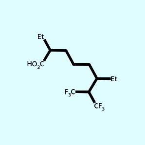 CCC(CCCC(CC)C(C(F)(F)F)C(F)(F)F)C(=O)O